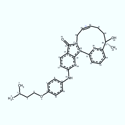 CN(C)CCOc1ccc(Nc2ncc3c(=O)n4n(c3n2)-c2cccc(n2)[C@](C)(O)CC/C=C\C4)cc1